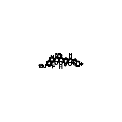 CN1CCn2nc(Nc3cc(-c4ccnc(-n5ncc6cc(C(C)(C)C)cc(F)c6c5=O)c4CO)cn(C)c3=O)cc2C1